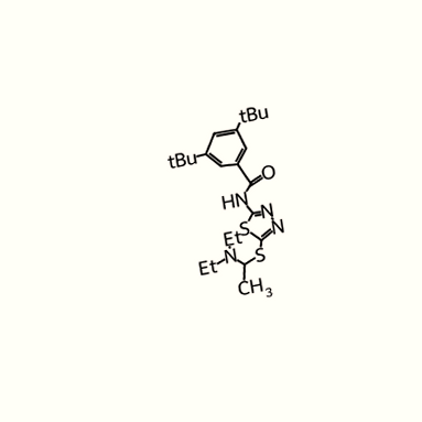 CCN(CC)C(C)Sc1nnc(NC(=O)c2cc(C(C)(C)C)cc(C(C)(C)C)c2)s1